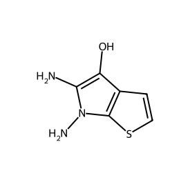 Nc1c(O)c2ccsc2n1N